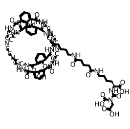 O=C(O)CN(C(=O)O)C(=O)N[C@@H](CCCCNC(=O)CCCC(=O)NCCCCC1CN2CCNC(=O)c3cccc(c3O)C(=O)NCCN3CCNC(=O)c4cccc(c4O)C(=O)NCCN(CCNC(=O)c4cccc(c4O)C(=O)NCCN(CCNC(=O)c4cccc(c4O)C(=O)N1)CC3)CC2)C(=O)O